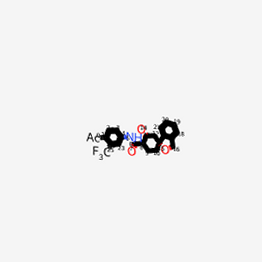 CC(=O)c1ccc(NC(=O)C2CCC3(CC2=O)OCc2ccccc23)cc1C(F)(F)F